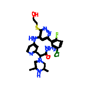 CC1CN(C(C(N)=O)c2cc(Nc3cc(-c4cc(Cl)ccc4F)nnc3SCCO)ccn2)CC(C)N1